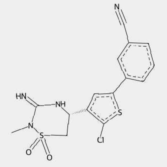 CN1C(=N)N[C@H](c2cc(-c3cccc(C#N)c3)sc2Cl)CS1(=O)=O